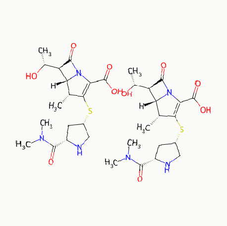 C[C@@H](O)[C@H]1C(=O)N2C(C(=O)O)=C(S[C@@H]3CN[C@H](C(=O)N(C)C)C3)[C@H](C)[C@H]12.C[C@@H](O)[C@H]1C(=O)N2C(C(=O)O)=C(S[C@@H]3CN[C@H](C(=O)N(C)C)C3)[C@H](C)[C@H]12